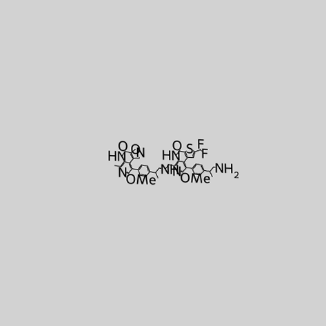 COc1nc(C)c2[nH]c(=O)c3oncc3c2c1-c1ccc(C(C)CNCc2nc(OC)c(-c3ccc(C(C)CN)cc3)c3c2[nH]c(=O)c2sc(C(F)F)cc23)cc1